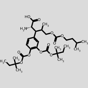 CCC(C)(C)OC(=O)Oc1ccc(C(C(C)COC(=O)OCCC(C)C)[C@H](N)C(=O)O)cc1OC(=O)OC(C)(C)CC